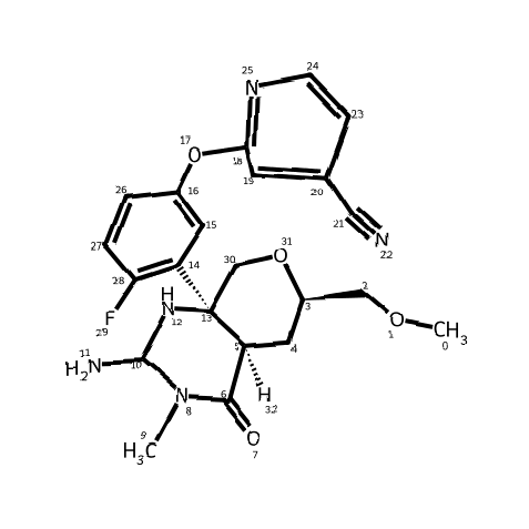 COC[C@H]1C[C@H]2C(=O)N(C)C(N)N[C@@]2(c2cc(Oc3cc(C#N)ccn3)ccc2F)CO1